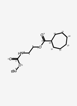 CC(C)(C)OC(=O)NCCOC(=O)C1CCCCCC1